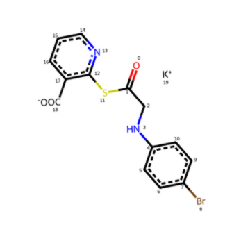 O=C(CNc1ccc(Br)cc1)Sc1ncccc1C(=O)[O-].[K+]